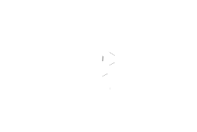 CC(=Cc1ccc(F)cc1)CO